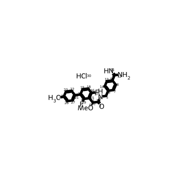 CO[C@H](C(=O)NCc1ccc(C(=N)N)cc1)c1c(F)ccc(-c2ccc(C)cc2)c1F.Cl